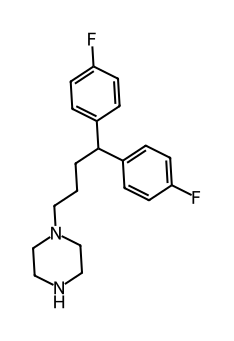 Fc1ccc(C(CCCN2CCNCC2)c2ccc(F)cc2)cc1